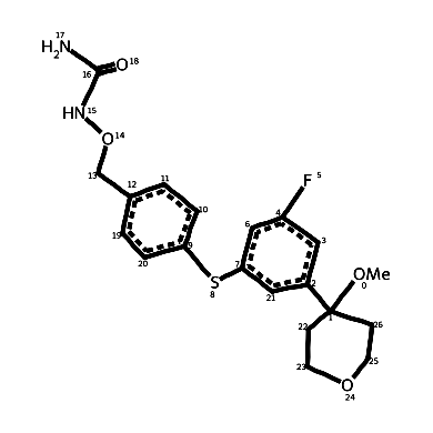 COC1(c2cc(F)cc(Sc3ccc(CONC(N)=O)cc3)c2)CCOCC1